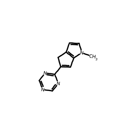 Cn1ccc2c1C=C(c1ncncn1)C2